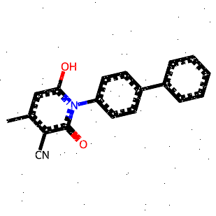 Cc1cc(O)n(-c2ccc(-c3ccccc3)cc2)c(=O)c1C#N